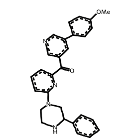 COc1ccc(-c2cncc(C(=O)c3cccc(N4CCNC(c5ccccc5)C4)n3)c2)cc1